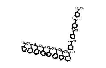 O=C(O)c1ccccc1.O=C(O)c1ccccc1.O=C(O)c1ccccc1.O=C(O)c1ccccc1.O=C(O)c1ccccc1.O=C(O)c1ccccc1.O=C(O)c1ccccc1.O=C(O)c1ccccc1.O=C(O)c1ccccc1.O=C(O)c1ccccc1.O=C(O)c1ccccc1.O=C(O)c1ccccc1